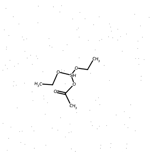 CCO[SiH](OCC)OC(C)=O